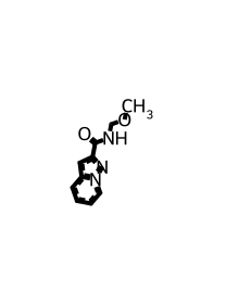 COCNC(=O)c1cc2ccccn2n1